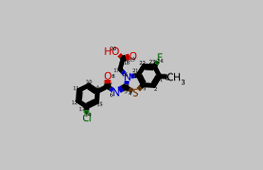 Cc1cc2sc(=NC(=O)c3cccc(Cl)c3)n(CC(=O)O)c2cc1F